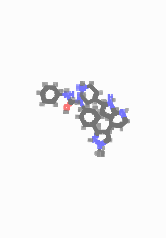 CCn1cc(-c2ccnc3[nH]c(C4=CCNCC4)cc23)c(-c2ccc(NC(=O)Nc3ccccc3)cc2)n1